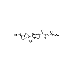 COC(=O)CCNC(=O)c1ccc2c(c1)nc(-c1ccc3c(c1)CCC3=NO)n2C